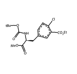 CCOC(=O)c1cc(C[C@H](NC(=O)OC(C)(C)C)C(=O)OC)ccc1Cl